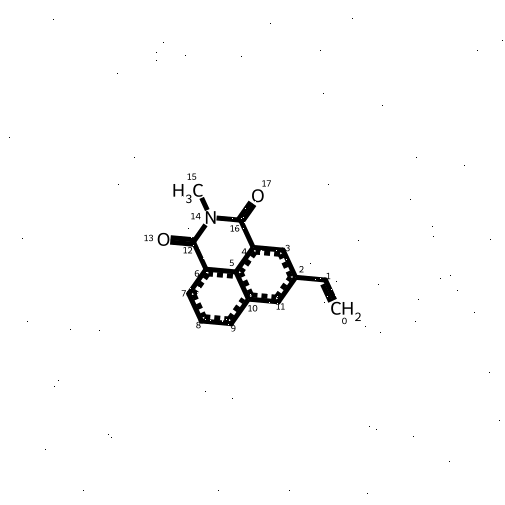 C=Cc1cc2c3c(cccc3c1)C(=O)N(C)C2=O